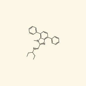 CCC(CC)/N=C/c1nc2c(-c3ccccc3)ccc(-c3ccccc3)c2n1C